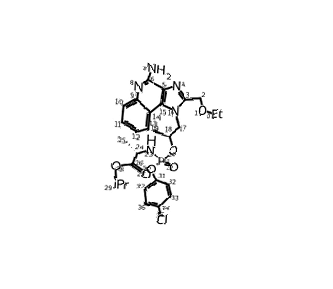 CCOCc1nc2c(N)nc3ccccc3c2n1C[C@H](C)O[P@@](=O)(N[C@@H](C)C(=O)OC(C)C)Oc1ccc(Cl)cc1